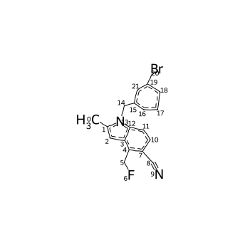 Cc1cc2c(CF)c(C#N)ccc2n1Cc1cccc(Br)c1